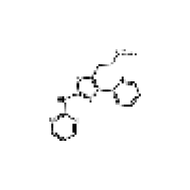 CCOC(=O)CCc1sc(Nc2ncccn2)nc1-c1ccccn1